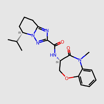 CC(C)[C@@H]1CCCc2nc(C(=O)N[C@H]3COc4ccccc4N(C)C3=O)nn21